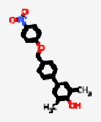 Cc1cc(-c2ccc(COc3ccc([N+](=O)[O-])cc3)cc2)cc(C)c1O